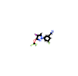 Cc1c(I)c(OC(F)F)nn1-c1cc(F)cc(C#N)c1